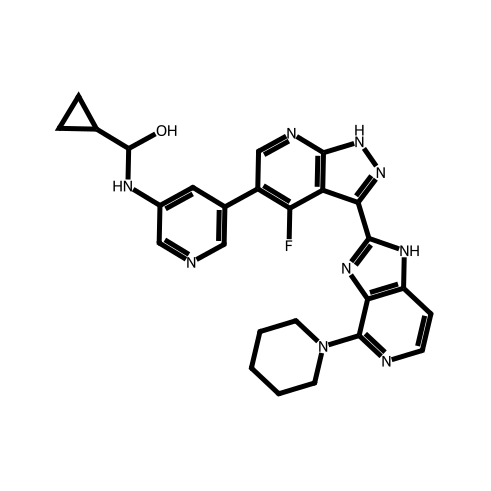 OC(Nc1cncc(-c2cnc3[nH]nc(-c4nc5c(N6CCCCC6)nccc5[nH]4)c3c2F)c1)C1CC1